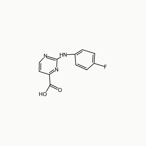 O=C(O)c1ccnc(Nc2ccc(F)cc2)n1